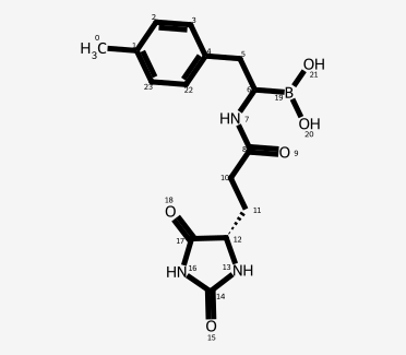 Cc1ccc(CC(NC(=O)CC[C@@H]2NC(=O)NC2=O)B(O)O)cc1